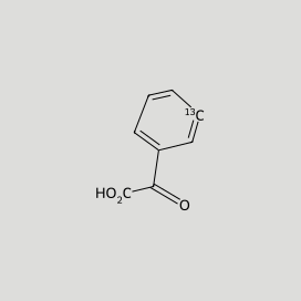 O=C(O)C(=O)c1ccc[13cH]c1